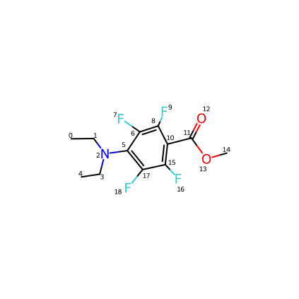 CCN(CC)c1c(F)c(F)c(C(=O)OC)c(F)c1F